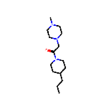 CCCC1CCN(C(=O)CN2CCN(C)CC2)CC1